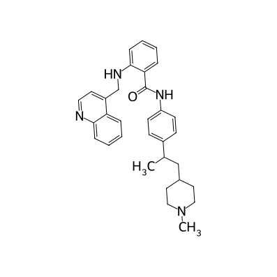 CC(CC1CCN(C)CC1)c1ccc(NC(=O)c2ccccc2NCc2ccnc3ccccc23)cc1